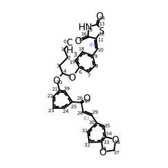 CCCCC(Oc1ccc(/C=C2/SC(=O)NC2=O)cc1)Oc1cccc(C(=O)/C=C/c2ccc3c(c2)OCO3)c1